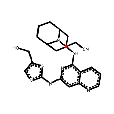 N#CCCN1C2CCCC1CC(Nc1nc(Nc3ncc(CO)s3)cc3ncccc13)C2